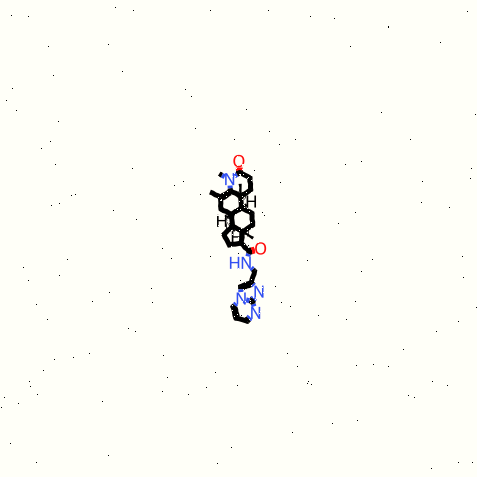 CC1=C2N(C)C(=O)CC[C@]2(C)[C@@H]2CC[C@]3(C)C(C(=O)NCc4cn5cccnc5n4)CC[C@H]3[C@@H]2C1